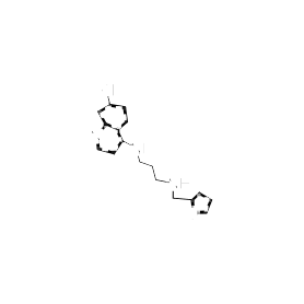 Clc1ccc2c(NCCCNCc3ccco3)ccnc2c1